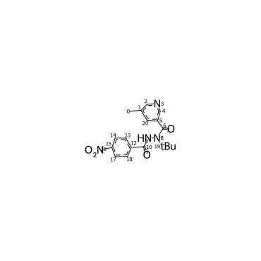 Cc1cncc(C(=O)N(NC(=O)c2ccc([N+](=O)[O-])cc2)C(C)(C)C)c1